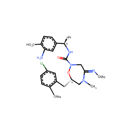 CCC[C@@H](NC(=O)N1CC(=NOC)N(C)C[C@H](Cc2cc(Cl)ccc2OC)O1)c1ccc(C(=O)O)c(N)c1